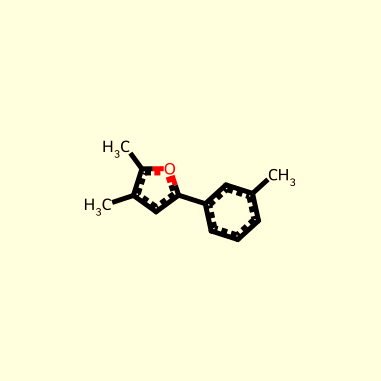 Cc1cccc(-c2cc(C)c(C)o2)c1